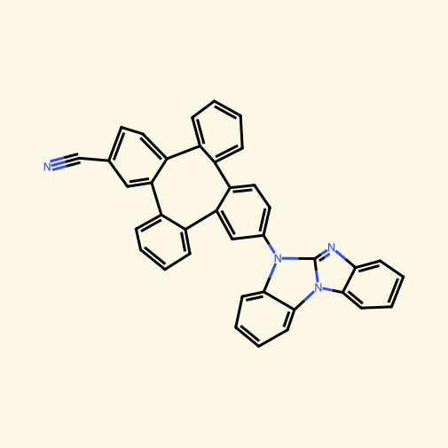 N#Cc1ccc2c(c1)-c1ccccc1-c1cc(-n3c4ccccc4n4c5ccccc5nc34)ccc1-c1ccccc1-2